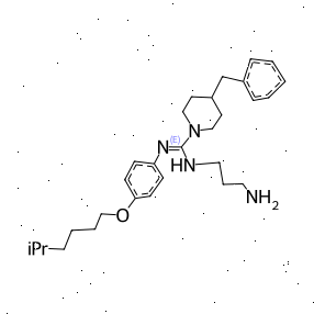 CC(C)CCCCOc1ccc(/N=C(\NCCCN)N2CCC(Cc3ccccc3)CC2)cc1